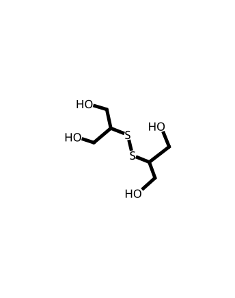 OCC(CO)SSC(CO)CO